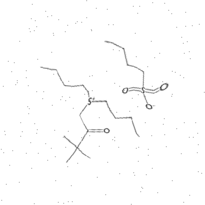 CCCCS(=O)(=O)[O-].CCCC[S+](CCCC)CC(=O)C(C)(C)C